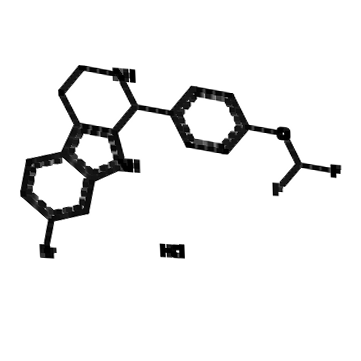 Cl.FC(F)Oc1ccc(C2NCCc3c2[nH]c2cc(Br)ccc32)cc1